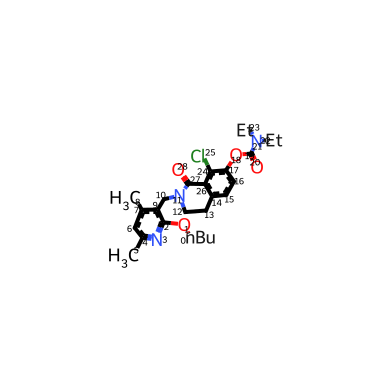 CCCCOc1nc(C)cc(C)c1CN1CCc2ccc(OC(=O)N(CC)CC)c(Cl)c2C1=O